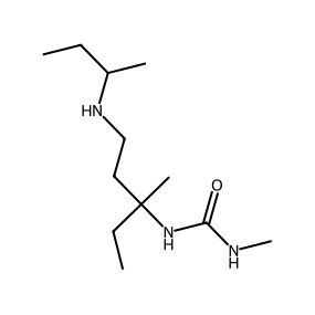 CCC(C)NCCC(C)(CC)NC(=O)NC